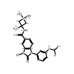 CCn1c(=O)n(-c2cccc(OC(F)F)c2)c2ccc(C(=O)NC3(C)CS(O)(O)C3)cc21